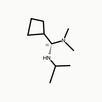 CC(C)N[C@H](C1CCC1)N(C)C